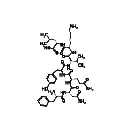 CC(C)C[C@H](NC(=O)[C@H](CCCCN)NC(=O)[C@@H](NC(=O)[C@H](Cc1ccc(O)cc1)NC(=O)[C@H](CCC(N)=O)NC(=O)[C@H](CC(N)=O)NC(=O)[C@@H](N)Cc1ccccc1)C(C)C)C(=O)O